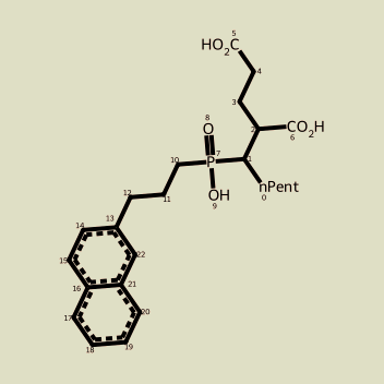 CCCCCC(C(CCC(=O)O)C(=O)O)P(=O)(O)CCCc1ccc2ccccc2c1